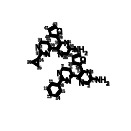 Nc1cnc(-c2ccnc(-c3ccccc3)n2)c(-c2ccco2)n1.Nc1cnc(-c2ccnc(C3CC3)n2)c(-c2ccco2)n1